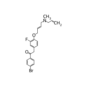 C=CCN(C)CC=CCOc1ccc(CC(=O)c2ccc(Br)cc2)cc1F